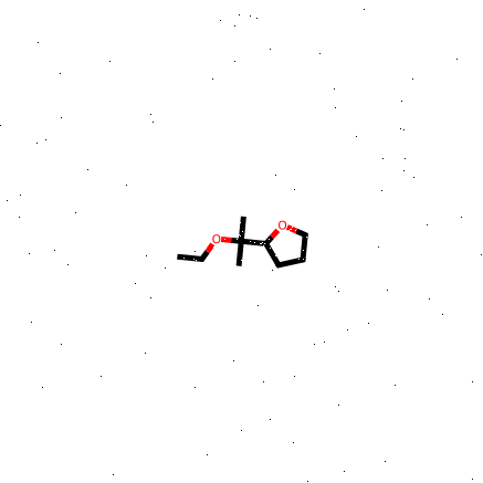 CCOC(C)(C)C1CCCO1